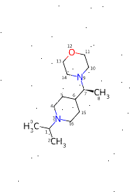 CC(C)N1CCC([C@H](C)N2CCOCC2)CC1